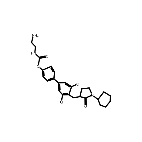 NCCNC(=O)Oc1ccc(-c2cc(Cl)c(CC3CCN(C4CCCCC4)C3=O)c(Cl)c2)cc1